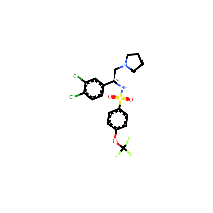 O=S(=O)(N[C@H](CN1CCCC1)c1ccc(Cl)c(Cl)c1)c1ccc(OC(F)(F)F)cc1